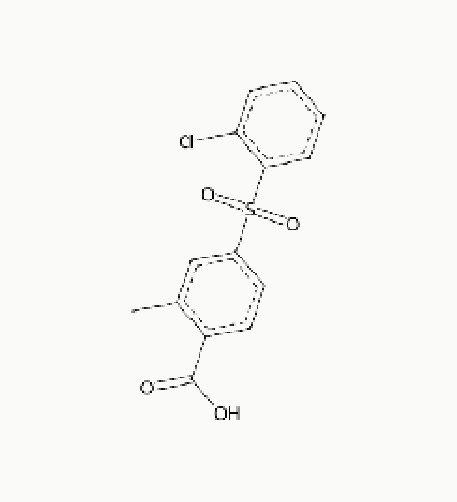 Cc1cc(S(=O)(=O)c2ccccc2Cl)ccc1C(=O)O